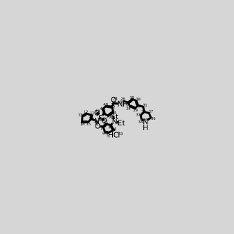 CCN(CC)c1cccc(ON(c2ccccc2)S(=O)(=O)c2ccc(C(=O)NCc3ccc(CC4CCNCC4)cc3)cc2)c1.Cl